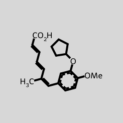 COc1ccc(C=C(C)/C=C/C=C/C(=O)O)cc1OC1CCCC1